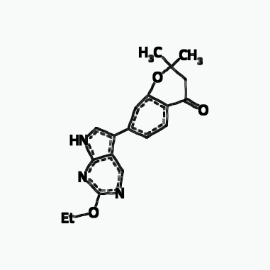 CCOc1ncc2c(-c3ccc4c(c3)OC(C)(C)CC4=O)c[nH]c2n1